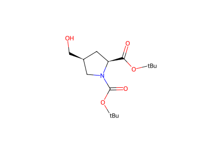 CC(C)(C)OC(=O)[C@@H]1C[C@H](CO)CN1C(=O)OC(C)(C)C